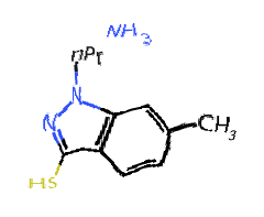 CCCn1nc(S)c2ccc(C)cc21.N